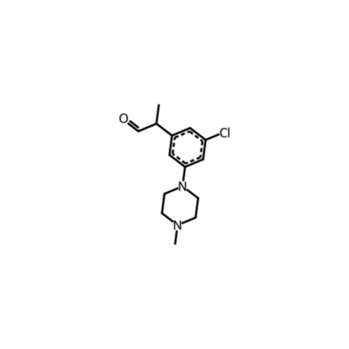 CC(C=O)c1cc(Cl)cc(N2CCN(C)CC2)c1